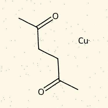 CC(=O)CCC(C)=O.[Cu]